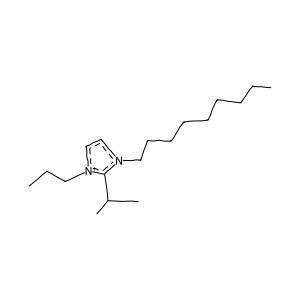 CCCCCCCCCn1cc[n+](CCC)c1C(C)C